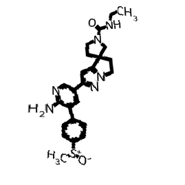 CCNC(=O)N1CCC2(CCn3nc(-c4cnc(N)c(-c5ccc([S+](C)[O-])cc5)c4)cc32)C1